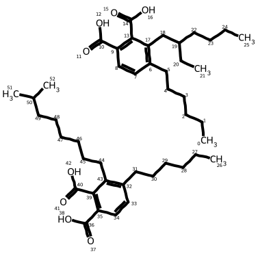 CCCCCCc1ccc(C(=O)O)c(C(=O)O)c1CC(CC)CCCC.CCCCCCc1ccc(C(=O)O)c(C(=O)O)c1CCCCCCC(C)C